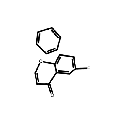 O=c1ccoc2ccc(F)cc12.c1ccccc1